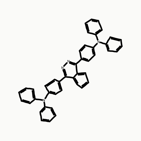 c1ccc(N(c2ccccc2)c2ccc(-c3nnc(-c4ccc(N(c5ccccc5)c5ccccc5)cc4)c4ccccc34)cc2)cc1